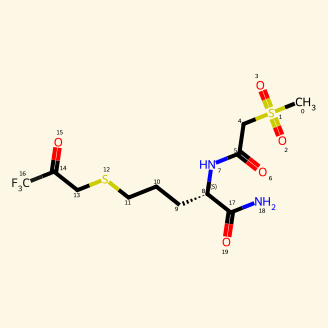 CS(=O)(=O)CC(=O)N[C@@H](CCCSCC(=O)C(F)(F)F)C(N)=O